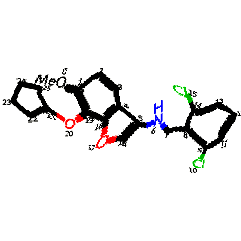 COc1ccc2c(NCc3c(Cl)cccc3Cl)coc2c1OC1CCCC1